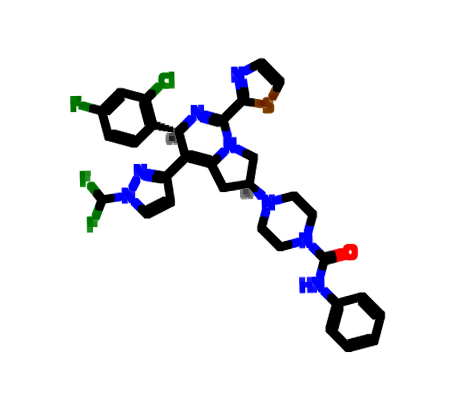 O=C(Nc1ccccc1)N1CCN([C@H]2CC3=C(c4ccn(C(F)F)n4)[C@H](c4ccc(F)cc4Cl)N=C(c4nccs4)N3C2)CC1